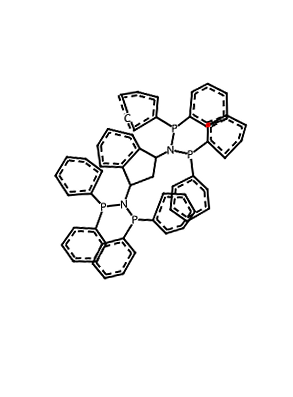 c1ccc(P(c2ccccc2)N(C2CC(N(P(c3ccccc3)c3ccccc3)P(c3ccccc3)c3ccccc3)c3ccccc32)P(c2ccccc2)c2ccccc2)cc1